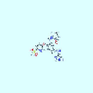 CS(=O)(=O)c1ccc(Oc2ccc(Nc3c[nH]cn3)cc2CN2CCCC2=O)cn1